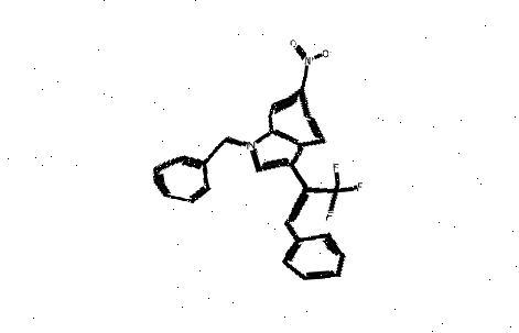 O=[N+]([O-])c1ccc2c(/C(=C/c3ccccc3)C(F)(F)F)cn(Cc3ccccc3)c2c1